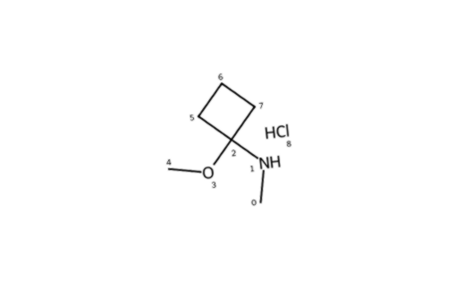 CNC1(OC)CCC1.Cl